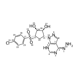 N/N=c1/nc[nH]c2c1cnn2[C@@H]1C[C@H](S(=O)(=O)c2ccc(Cl)cc2)[C@@H](O)[C@H]1O